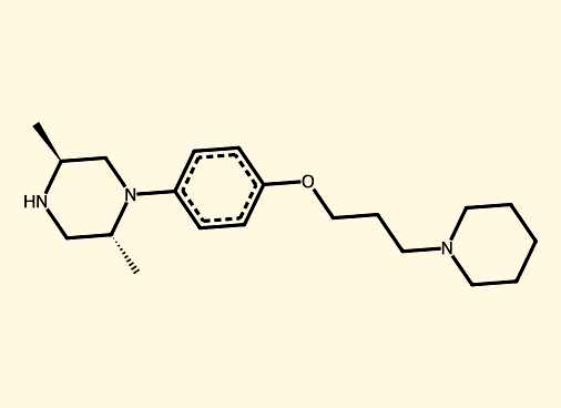 C[C@@H]1CN[C@@H](C)CN1c1ccc(OCCCN2CCCCC2)cc1